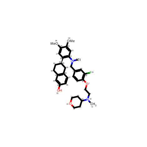 CCN(Cc1ccc(OCCN(C)C2CCOCC2)c(F)c1)c1cc(OC)c(OC)cc1[C@@H]1CCc2cc(O)ccc2C1